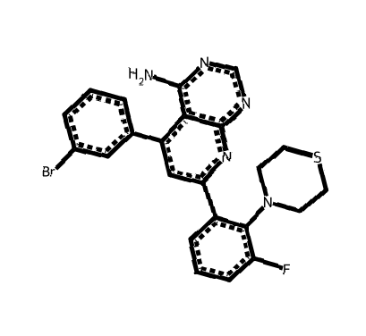 Nc1ncnc2nc(-c3cccc(F)c3N3CCSCC3)cc(-c3cccc(Br)c3)c12